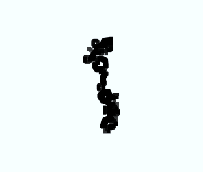 C[C@H](NC(=O)c1ccco1)C(=O)N1CCCN(CCCOc2ccc(-c3noc(-c4ccncn4)n3)c(F)c2)CC1